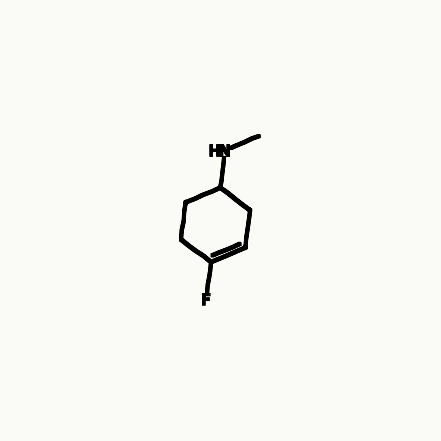 CNC1CC=C(F)CC1